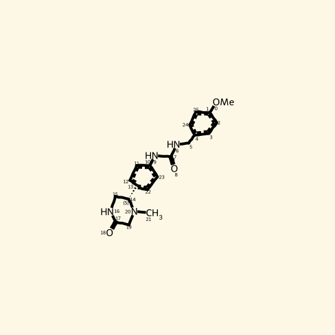 COc1ccc(CNC(=O)Nc2ccc([C@H]3CNC(=O)CN3C)cc2)cc1